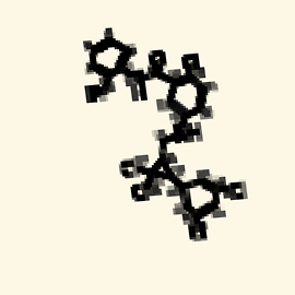 CC(C)c1ccccc1NC(=O)c1cc(NCC2C(c3cc(Cl)cc(Cl)c3)C2(Cl)Cl)ccc1Cl